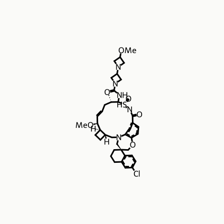 COC1CN(C2CN(C(=O)NC3[C@@H](C)C/C=C/[C@H](OC)[C@@H]4CC[C@H]4CN4C[C@@]5(CCCc6cc(Cl)ccc65)COc5ccc(cc54)C(=O)/N=[SH]\3=O)C2)C1